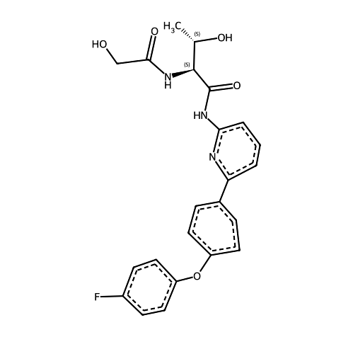 C[C@H](O)[C@H](NC(=O)CO)C(=O)Nc1cccc(-c2ccc(Oc3ccc(F)cc3)cc2)n1